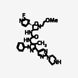 COCCN1C[C@@H](NC(=O)Nc2c(C)c(-c3cnc(N4CCNCC4)nc3)nn2-c2ccccc2)[C@H](c2ccnc(F)c2)O1